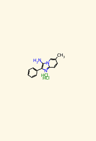 Cc1ccc2nc(-c3ccccc3)c(N)n2c1.Cl.Cl